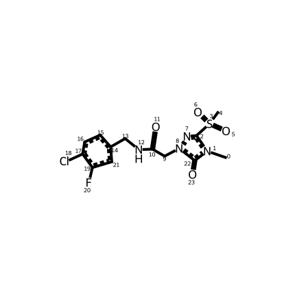 Cn1c(S(C)(=O)=O)nn(CC(=O)NCc2ccc(Cl)c(F)c2)c1=O